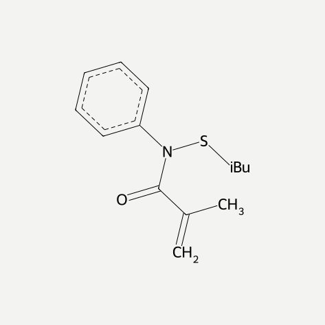 C=C(C)C(=O)N(SC(C)CC)c1ccccc1